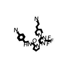 N#CCCC1CCN(c2cc(N3CCCC3C(=O)NCCc3ccc(C#N)cc3)nc(C(F)(F)F)n2)CC1